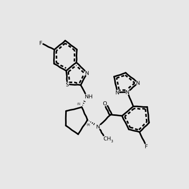 CN(C(=O)c1cc(F)ccc1-n1nccn1)[C@@H]1CCC[C@@H]1Nc1nc2ccc(F)cc2s1